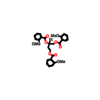 CCC(CCOC(=O)c1ccccc1OC)(COC(=O)c1ccccc1OC)OC(=O)c1ccccc1OC